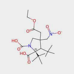 CCOC(=O)CC1(C[N+](=O)[O-])CN(C(=O)O)[C@](C(=O)O)(C(C)(C)C)C1C(C)(C)C